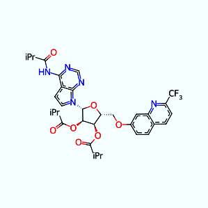 CC(C)C(=O)Nc1ncnc2c1ccn2[C@@H]1O[C@H](COc2ccc3ccc(C(F)(F)F)nc3c2)[C@@H](OC(=O)C(C)C)[C@H]1OC(=O)C(C)C